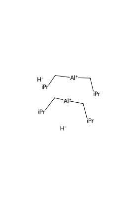 CC(C)[CH2][Al+][CH2]C(C)C.CC(C)[CH2][Al+][CH2]C(C)C.[H-].[H-]